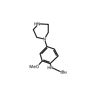 COc1cc(N2CCNCC2)ccc1NC(C)(C)C